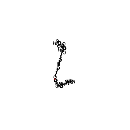 C[C@@H](NC(=O)c1cccc(NCc2nnc(-c3ccncn3)n2C)c1)c1ccc(OCCCCCCOCCOCCOCCCCCC(=O)Nc2cccc3c2CN(C2CCC(=O)NC2=O)C3=O)cc1